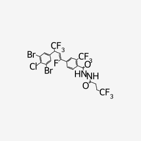 O=C(CCC(F)(F)F)NNC(=O)c1ccc(C(F)=CC(c2cc(Br)c(Cl)c(Br)c2)C(F)(F)F)cc1C(F)(F)F